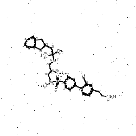 CCc1cc(-c2ccc(CCC(=O)O)cc2Cl)ccc1S(=O)(=O)N(C)C[C@H](O)CNC(C)(C)CC1Cc2ccccc2C1